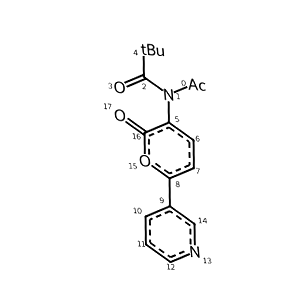 CC(=O)N(C(=O)C(C)(C)C)c1ccc(-c2cccnc2)oc1=O